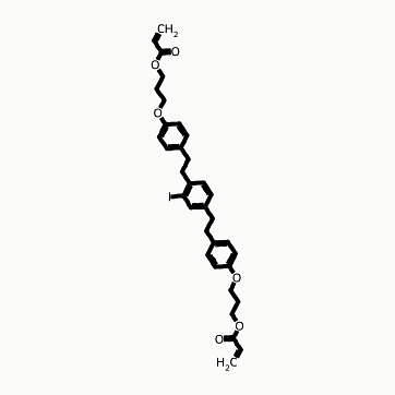 C=CC(=O)OCCCOc1ccc(CCc2ccc(CCc3ccc(OCCCOC(=O)C=C)cc3)c(I)c2)cc1